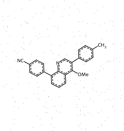 COc1c(-c2ccc(C)cc2)cnc2c(-c3ccc(C#N)cc3)cccc12